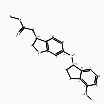 COC(=O)C[C@@H]1COc2cc(O[C@@H]3CCc4c(OC)cccc43)ccc21